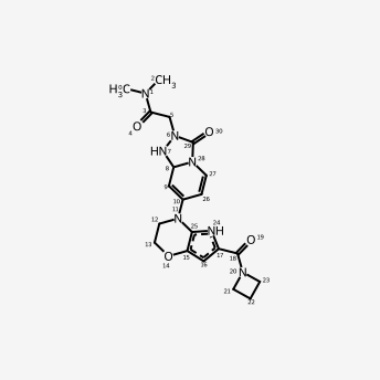 CN(C)C(=O)CN1NC2C=C(N3CCOc4cc(C(=O)N5CCC5)[nH]c43)C=CN2C1=O